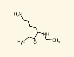 CCN[C@@H](CCCCN)C(=O)CC